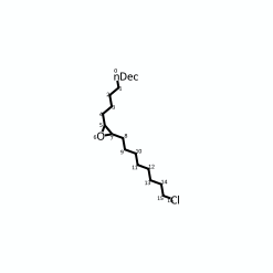 CCCCCCCCCCCCCCC1OC1CCCCCCCCCl